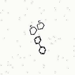 C1CCSCC1.C1CCSCC1.c1ccc(-c2ccccc2)cc1